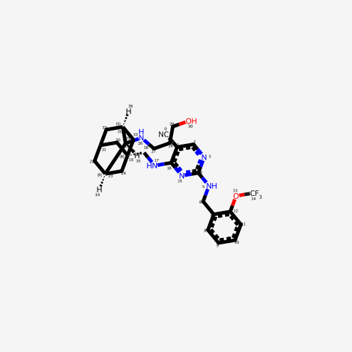 N#Cc1cnc(NCc2ccccc2OC(F)(F)F)nc1NC[C@@]12CC3C[C@H](C1)[C@@H](NCCCO)[C@@H](C3)C2